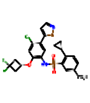 O=C(O)c1ccc(C2CC2)c(S(=O)(=O)Nc2cc(-c3ccns3)c(Cl)cc2OC2CC(F)(F)C2)c1